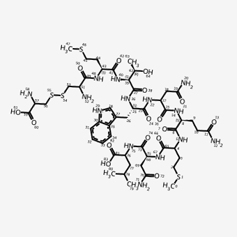 CSCCC(NC(=O)[C@H](CCC(N)=O)NC(=O)C(CC(N)=O)NC(=O)[C@H](Cc1c[nH]c2ccccc12)NC(=O)[C@@H](NC(=O)[C@H](CCSC)NC(=O)C(N)CSSCC(N)C(=O)O)[C@@H](C)O)C(=O)N[C@@H](CC(N)=O)C(=O)NC(CC(C)C)C(=O)O